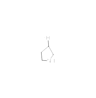 [2H]C1CCNC1